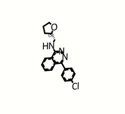 Clc1ccc(-c2nnc(NC[C@@H]3CCCO3)c3ccccc23)cc1